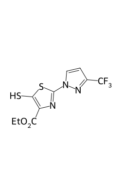 CCOC(=O)c1nc(-n2ccc(C(F)(F)F)n2)sc1S